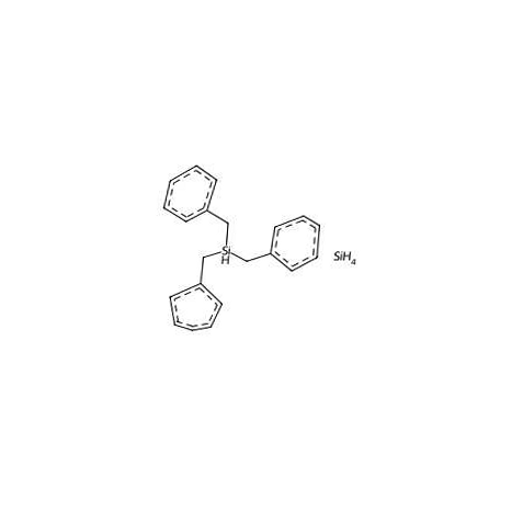 [SiH4].c1ccc(C[SiH](Cc2ccccc2)Cc2ccccc2)cc1